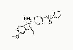 CCn1c(-c2ccc(NC(=O)N3CCCC3)cc2)c(N)c2ccc(OC)cc21